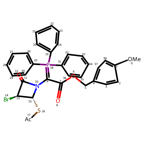 COc1ccc(COC(=O)C(N2C(=O)[C@H](Br)[C@H]2SC(C)=O)=P(c2ccccc2)(c2ccccc2)c2ccccc2)cc1